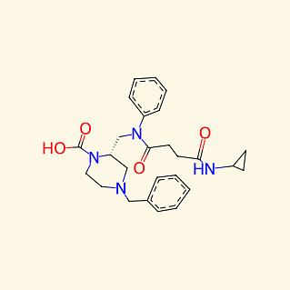 O=C(CCC(=O)N(C[C@@H]1CN(Cc2ccccc2)CCN1C(=O)O)c1ccccc1)NC1CC1